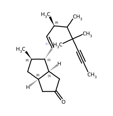 CC#CC(C)(C)C(C)[C@H](C)/C=C/[C@@H]1[C@H]2CC(=O)C[C@H]2C[C@H]1C